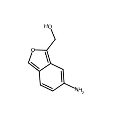 Nc1ccc2coc(CO)c2c1